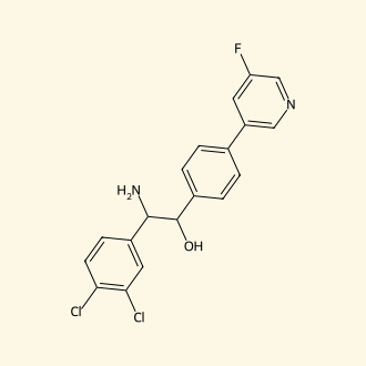 NC(c1ccc(Cl)c(Cl)c1)C(O)c1ccc(-c2cncc(F)c2)cc1